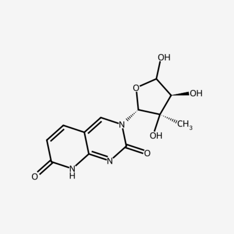 C[C@@]1(O)[C@H](O)C(O)O[C@H]1n1cc2ccc(=O)[nH]c2nc1=O